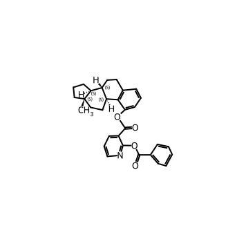 C[C@@]12CCC[C@H]1[C@@H]1CCc3cccc(OC(=O)c4cccnc4OC(=O)c4ccccc4)c3[C@H]1CC2